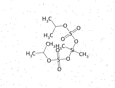 CC(C)OS(=O)(=O)O[Si](C)(C)OS(=O)(=O)OC(C)C